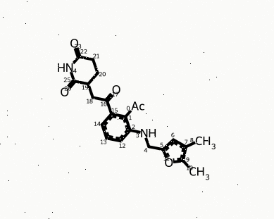 CC(=O)c1c(NCc2cc(C)c(C)o2)cccc1C(=O)CC1CCC(=O)NC1=O